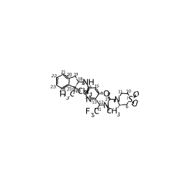 CN(C(=O)N1CCS(=O)(=O)CC1)C(c1ccc(NC2Cc3ccccc3C2(C)C)cn1)C(F)(F)F